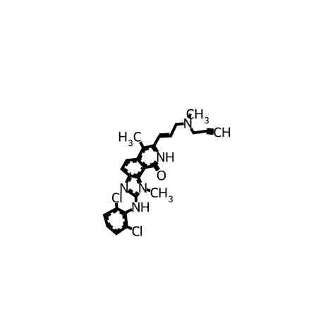 C#CCN(C)CC=Cc1[nH]c(=O)c2c(ccc3nc(Nc4c(Cl)cccc4Cl)n(C)c32)c1C